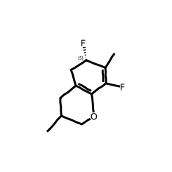 CC1=C(F)C2=C(CC(C)CO2)C[C@@H]1F